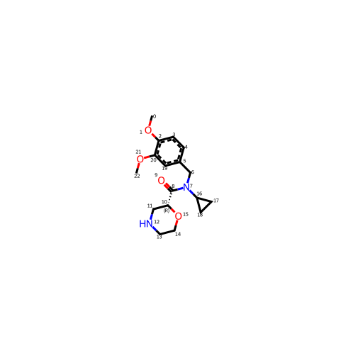 COc1ccc(CN(C(=O)[C@H]2CNCCO2)C2CC2)cc1OC